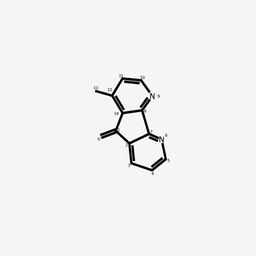 C=C1c2cccnc2-c2nccc(C)c21